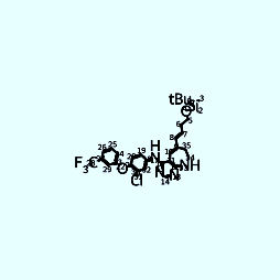 CC(C)(C)[Si](C)(C)OCCC=CC1=Cc2c(ncnc2Nc2ccc(Oc3cccc(C(F)(F)F)c3)c(Cl)c2)NCC1